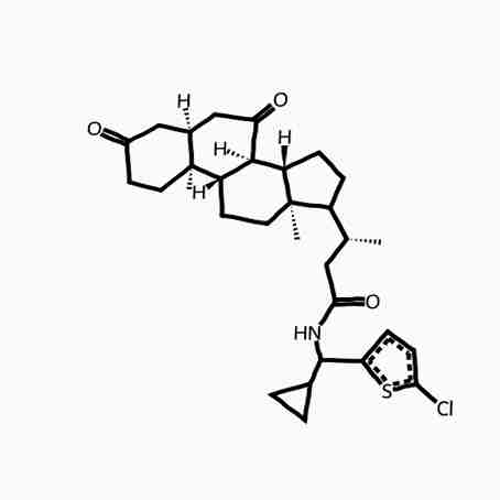 C[C@H](CC(=O)NC(c1ccc(Cl)s1)C1CC1)C1CC[C@H]2[C@@H]3C(=O)C[C@@H]4CC(=O)CC[C@]4(C)[C@H]3CC[C@]12C